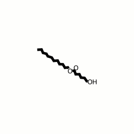 CCCCCCCCCCCCOC(=O)CCCCCO